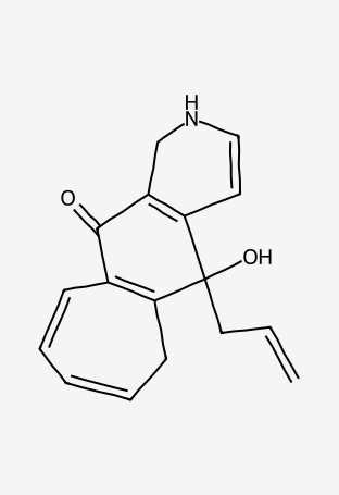 C=CCC1(O)C2=C(CNC=C2)C(=O)C2=C1CC=CC=C2